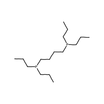 CCCP(CCC)CCCCP(CCC)CCC